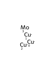 [Cu].[Cu].[Cu].[Mo]